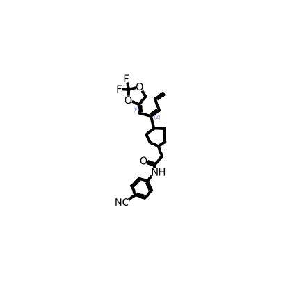 C=C/C=C(\C=C1/COC(F)(F)O1)C1CCC(CC(=O)Nc2ccc(C#N)cc2)CC1